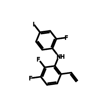 C=Cc1ccc(F)c(F)c1Nc1ccc(I)cc1F